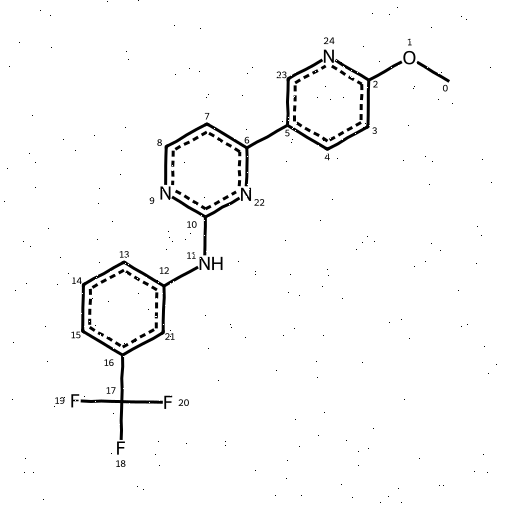 COc1ccc(-c2ccnc(Nc3cccc(C(F)(F)F)c3)n2)cn1